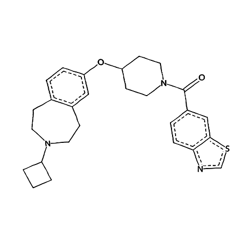 O=C(c1ccc2ncsc2c1)N1CCC(Oc2ccc3c(c2)CCN(C2CCC2)CC3)CC1